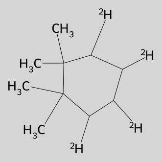 [2H]C1C([2H])C([2H])C(C)(C)C(C)(C)C1[2H]